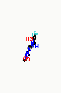 Cc1cc(N[C@@H]2CCCN(CCN3CCN(C(=O)OC(C)(C)C)CC3)C2)nnc1-c1ccc(C(F)(F)F)cc1O